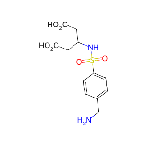 NCc1ccc(S(=O)(=O)NC(CC(=O)O)CC(=O)O)cc1